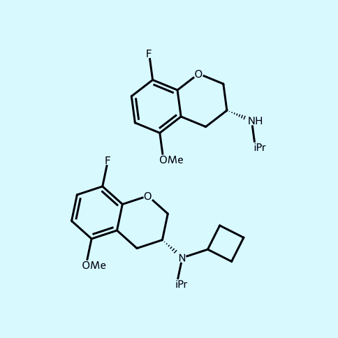 COc1ccc(F)c2c1C[C@@H](N(C(C)C)C1CCC1)CO2.COc1ccc(F)c2c1C[C@@H](NC(C)C)CO2